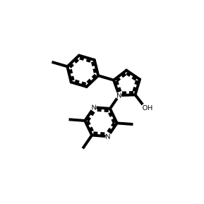 Cc1ccc(-c2ccc(O)n2-c2nc(C)c(C)nc2C)cc1